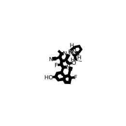 C#Cc1c(F)ccc2cc(O)cc(-c3nc4c5c(nc(C)c(C#N)c5c3F)N3C[C@H]5CC[C@H](N5)[C@H]3[C@H](C)O4)c12